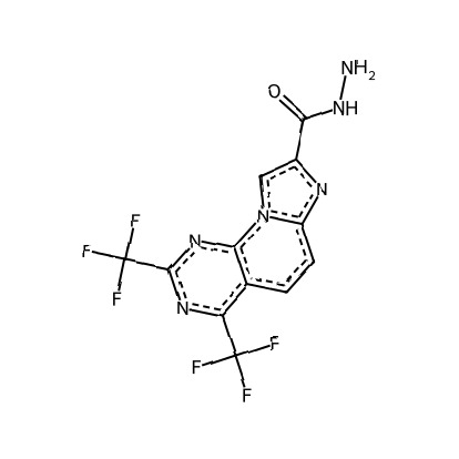 NNC(=O)c1cn2c(ccc3c(C(F)(F)F)nc(C(F)(F)F)nc32)n1